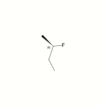 CC[C@@H](C)F